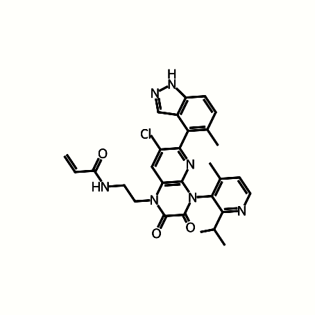 C=CC(=O)NCCn1c(=O)c(=O)n(-c2c(C)ccnc2C(C)C)c2nc(-c3c(C)ccc4[nH]ncc34)c(Cl)cc21